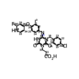 Cc1cc(/N=c2\[nH]c(=O)n(CCC(=O)O)c(=O)n2Cc2ccc(Cl)cc2)ccc1OC1=CC(F)NC=C1